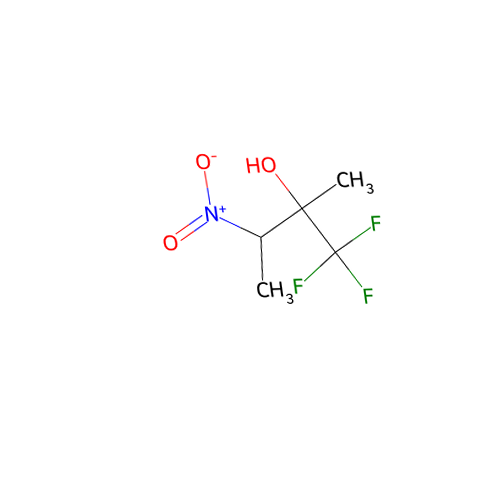 CC([N+](=O)[O-])C(C)(O)C(F)(F)F